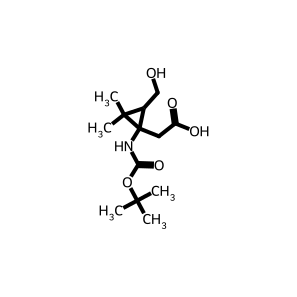 CC(C)(C)OC(=O)NC1(CC(=O)O)C(CO)C1(C)C